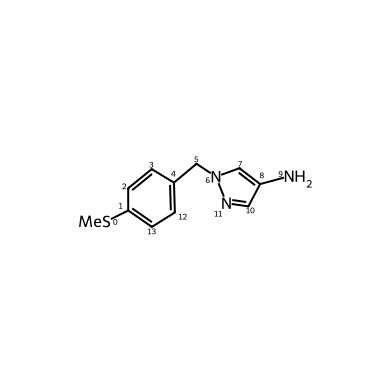 CSc1ccc(Cn2cc(N)cn2)cc1